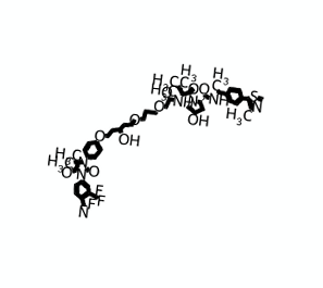 Cc1ncsc1-c1ccc([C@H](C)NC(=O)[C@@H]2C[C@@H](O)CN2C(=O)C(NC(=O)COCCCOCCC(O)CCOc2ccc(N3C(=O)N(c4ccc(C#N)c(C(F)(F)F)c4)C(=O)C3(C)C)cc2)C(C)(C)C)cc1